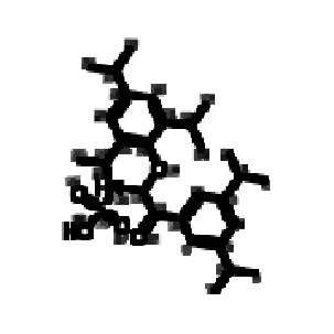 CC(C)c1[c]c(C(C)C)cc(C(=O)C(NS(=O)(=O)O)Oc2c(C(C)C)cc(C(C)C)cc2C(C)C)c1